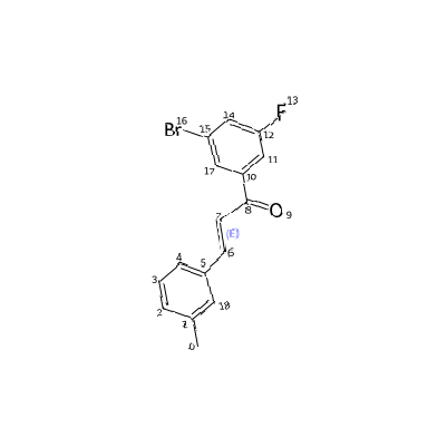 Cc1cccc(/C=C/C(=O)c2cc(F)cc(Br)c2)c1